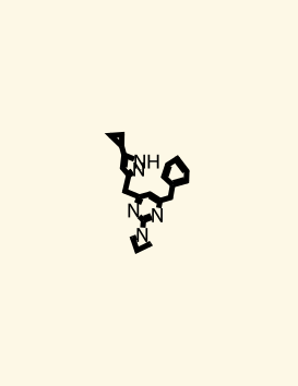 c1ccc(Cc2cc(Cc3cc(C4CC4)[nH]n3)nc(N3CCC3)n2)cc1